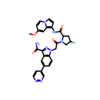 COc1ccn2ccc(NC(=O)C3CC(F)CN3C(=O)Cn3nc(C(N)=O)c4cc(-c5ccnnc5)ccc43)c2c1